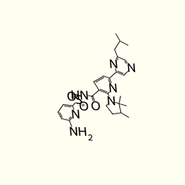 CC(C)Cc1cncc(-c2ccc(C(=O)NS(=O)(=O)c3cccc(N)n3)c(N3CCC(C)C3(C)C)n2)n1